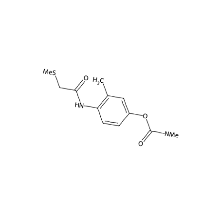 CNC(=O)Oc1ccc(NC(=O)CSC)c(C)c1